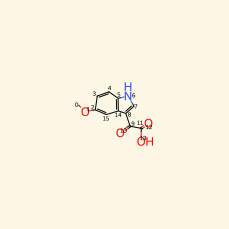 COc1ccc2[nH]cc(C(=O)C(=O)O)c2c1